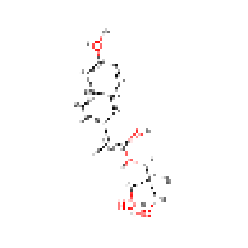 COc1ccc2cc([C@H](C)C(=O)OCC(C)(CO)CO)ccc2c1